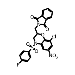 O=C1c2ccccc2C(=O)N1CC1CN(S(=O)(=O)c2ccc(F)cc2)c2cc([N+](=O)[O-])cc(Cl)c2O1